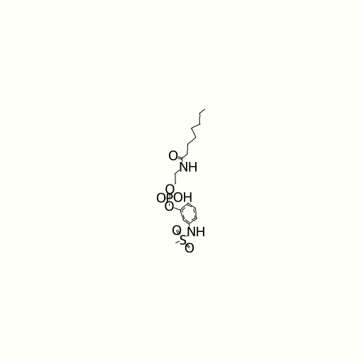 CCCCCCCC(=O)NCCOP(=O)(O)Oc1cccc(NS(C)(=O)=O)c1